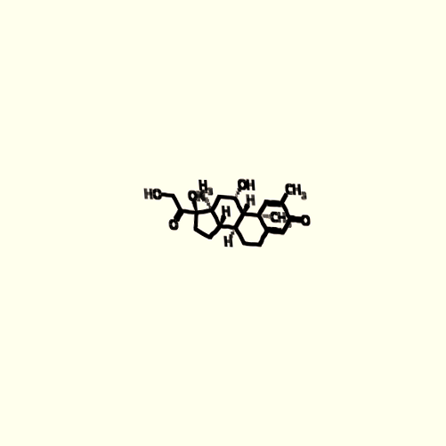 CC1=C[C@@]2(C)C(=CC1=O)CC[C@@H]1[C@@H]2[C@@H](O)C[C@@]2(C)[C@H]1CC[C@]2(O)C(=O)CO